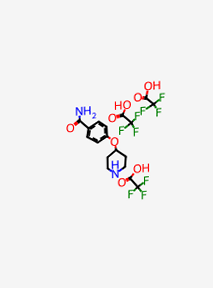 NC(=O)c1ccc(OC2CCNCC2)cc1.O=C(O)C(F)(F)F.O=C(O)C(F)(F)F.O=C(O)C(F)(F)F